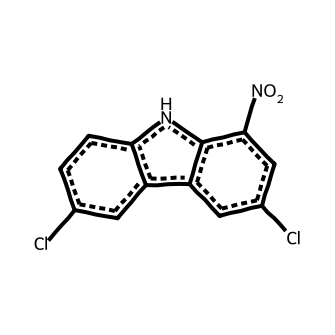 O=[N+]([O-])c1cc(Cl)cc2c1[nH]c1ccc(Cl)cc12